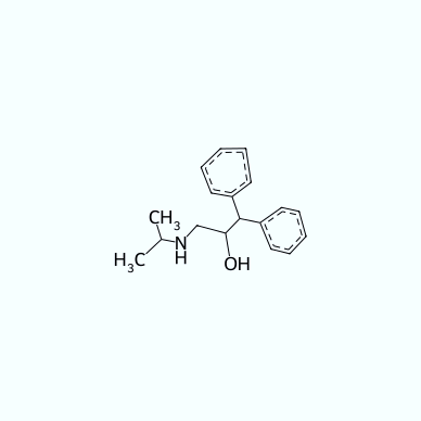 CC(C)NCC(O)C(c1ccccc1)c1ccccc1